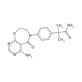 CC(C)(C(N)=O)c1ccc(N2CCOc3ncnc(N)c3C2=O)cc1